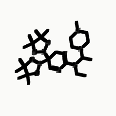 CCN(C1=NCC(B2OC(C)(C)C(C)(C)O2)(B2OC(C)(C)C(C)(C)O2)C=N1)C(C)N1CCN(C)CC1